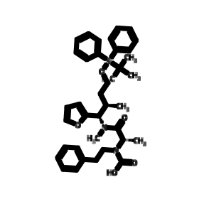 C[C@H](CCO[Si](c1ccccc1)(c1ccccc1)C(C)(C)C)[C@@H](c1ccco1)N(C)C(=O)[C@H](C)N(CCc1ccccc1)C(=O)O